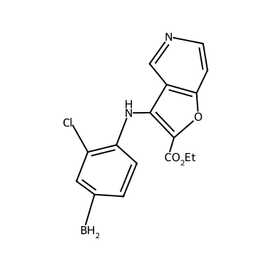 Bc1ccc(Nc2c(C(=O)OCC)oc3ccncc23)c(Cl)c1